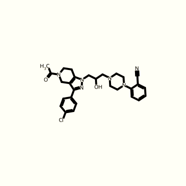 CC(=O)N1CCc2c(c(-c3ccc(Cl)cc3)nn2CC(O)CN2CCN(c3ccccc3C#N)CC2)C1